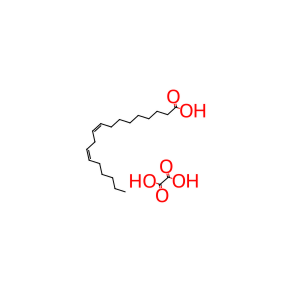 CCCCC/C=C\C/C=C\CCCCCCCC(=O)O.O=C(O)C(=O)O